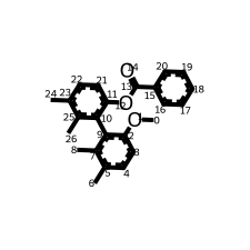 COc1ccc(C)c(C)c1-c1c(OC(=O)c2ccccc2)ccc(C)c1C